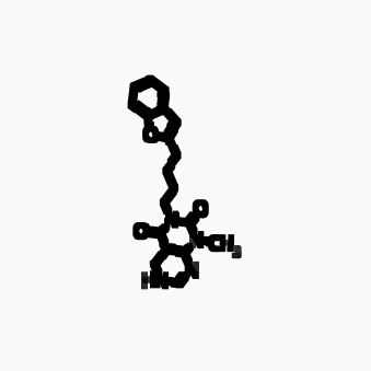 Cn1c2c(c(=O)n(CCCCc3cc4ccccc4o3)c1=O)CNC=N2